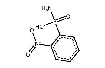 NP(=O)(O)c1ccccc1[N+](=O)[O-]